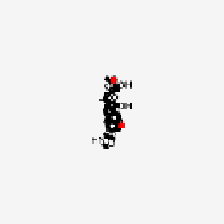 CC(=O)OC(C1C[C@@H](C)C2C(O1)[C@H](O)[C@@]1(C)C3CC[C@H]4C(C)(C)C(OC5CNCCO5)CCC45CC35CCC21C)C(C)(C)O